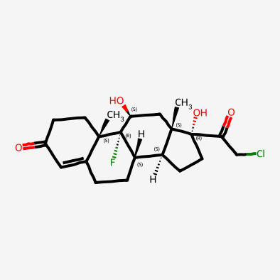 C[C@]12CCC(=O)C=C1CC[C@H]1[C@@H]3CC[C@](O)(C(=O)CCl)[C@@]3(C)C[C@H](O)[C@@]12F